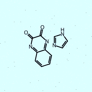 O=C1N=c2ccccc2=NC1=O.c1c[nH]cn1